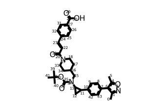 Cc1noc(C)c1-c1ccc(C2CC2N(CC2CCN(C(=O)C=Cc3ccc(C(=O)O)cc3)CC2)C(=O)OC(C)(C)C)cc1